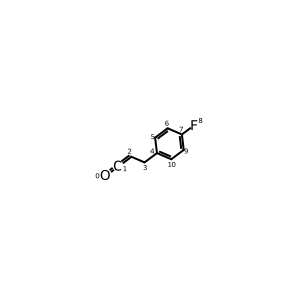 O=C=CCc1ccc(F)cc1